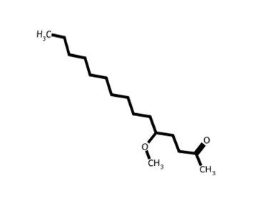 CCCCCCCCCCC(CCC(C)=O)OC